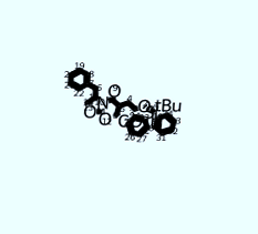 CC(C)(C)[Si](OCCC(CC(=O)O)C(=O)N1C(=O)OCC1Cc1ccccc1)(c1ccccc1)c1ccccc1